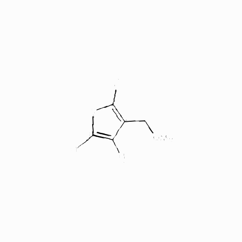 COCc1c(Cl)sc(Cl)c1Cl